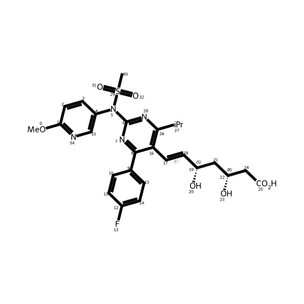 COc1ccc(N(c2nc(-c3ccc(F)cc3)c(/C=C/[C@@H](O)C[C@@H](O)CC(=O)O)c(C(C)C)n2)S(C)(=O)=O)cn1